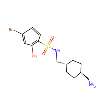 NC[C@H]1CC[C@H](CNS(=O)(=O)c2ccc(Br)cc2O)CC1